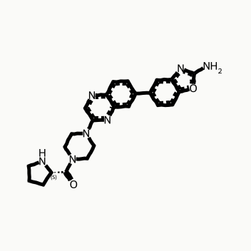 Nc1nc2cc(-c3ccc4ncc(N5CCN(C(=O)[C@@H]6CCCN6)CC5)nc4c3)ccc2o1